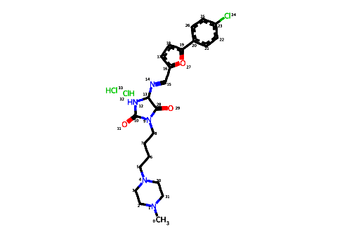 CN1CCN(CCCCN2C(=O)NC(N=Cc3ccc(-c4ccc(Cl)cc4)o3)C2=O)CC1.Cl.Cl